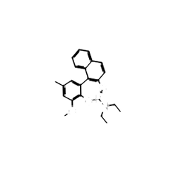 CCN(CC)p1oc2ccc3ccccc3c2c2cc(C)cc(OC)c2o1